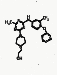 Cc1nc(Nc2ccc(Oc3ccccc3)c(C(F)(F)F)c2)nc(N2CCN(CCO)CC2)n1